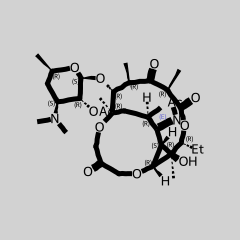 CC[C@H]1OC(=O)[C@H](C)C(=O)[C@H](C)[C@@H](O[C@@H]2O[C@H](C)C[C@H](N(C)C)[C@H]2OC(C)=O)[C@@]2(C)C[C@@H](C)/C(=N\C(C)=O)[C@H](C)[C@@H](OCC(=O)CO2)[C@]1(C)O